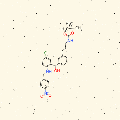 CC(C)(C)OC(=O)NCCCc1cccc(C(O)c2cc(Cl)ccc2NCc2ccc([N+](=O)[O-])cc2)c1